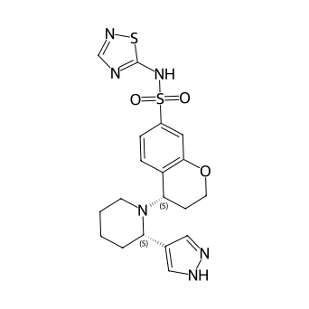 O=S(=O)(Nc1ncns1)c1ccc2c(c1)OCC[C@@H]2N1CCCC[C@H]1c1cn[nH]c1